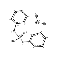 CCNCC.O=P(O)(Oc1ccccc1)Oc1ccccc1